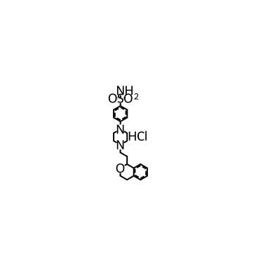 Cl.NS(=O)(=O)c1ccc(N2CCN(CCC3OCCc4ccccc43)CC2)cc1